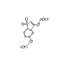 CCCCCCCCOC1=CS(=O)(=O)c2ccc(OCCCCCCCC)cc21